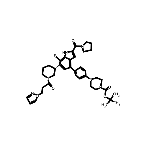 CC(C)(C)OC(=O)N1CCN(c2ccc(-c3cc([C@H]4CCCN(C(=O)CCn5cccn5)C4)c(F)c4[nH]c(C(=O)N5CCCC5)cc34)cc2)CC1